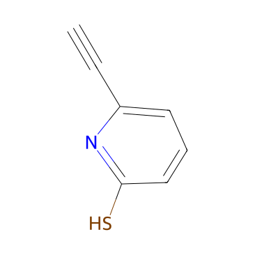 C#Cc1cccc(S)n1